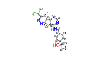 Cc1c(C(F)F)nnc2sc3c(NCc4ccc(C5(O)CCC5)cc4)ncnc3c12